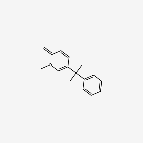 C=C/C=C\C(=C/OC)C(C)(C)c1ccccc1